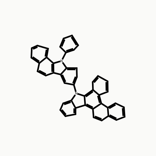 c1ccc(-n2c3ccc(-n4c5ccccc5c5c6ccc7ccccc7c6c6ccccc6c54)cc3c3ccc4ccccc4c32)cc1